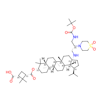 CC(C)[C@@H]1CC[C@]2(NC[C@H](CNC(=O)OC(C)(C)C)N3CCS(=O)(=O)CC3)CC[C@]3(C)[C@H](CC[C@@H]4[C@@]5(C)CC[C@H](OC(=O)[C@H]6C[C@@H](C(=O)O)C6(C)C)C(C)(C)[C@@H]5CC[C@]43C)[C@@H]12